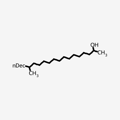 CCCCCCCCCCC(C)CCCCCCCCCCCCC(C)O